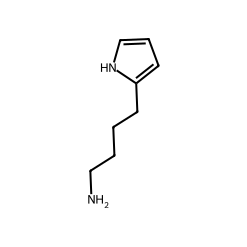 NCCCCc1ccc[nH]1